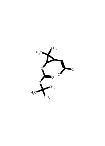 CC(C)(C)OC(=O)OC1C(C=C(Cl)Cl)C1(C)C